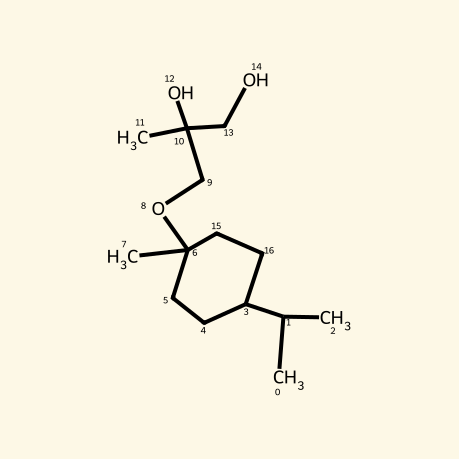 CC(C)C1CCC(C)(OCC(C)(O)CO)CC1